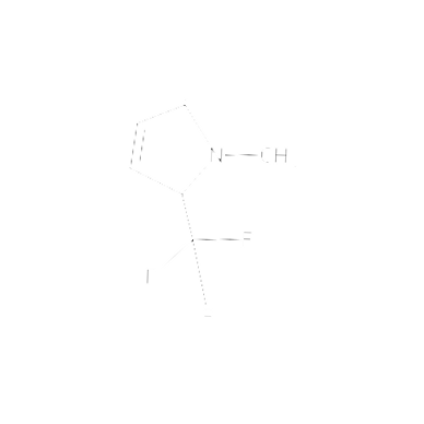 CN1[CH]C=CC1C(F)(F)F